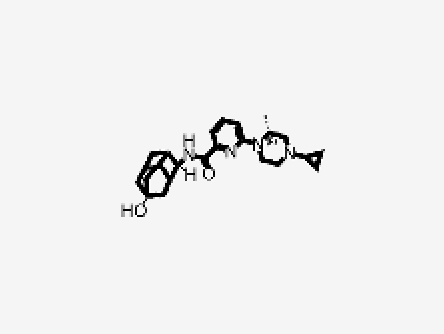 C[C@@H]1CN(C2CC2)CCN1c1cccc(C(=O)N[C@H]2C3CC4CC2C[C@](O)(C4)C3)n1